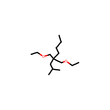 CCCCC(COCC)(COCC)CC(C)C